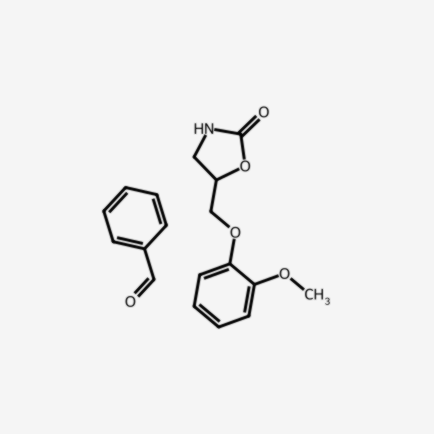 COc1ccccc1OCC1CNC(=O)O1.O=Cc1ccccc1